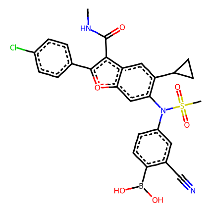 CNC(=O)c1c(-c2ccc(Cl)cc2)oc2cc(N(c3ccc(B(O)O)c(C#N)c3)S(C)(=O)=O)c(C3CC3)cc12